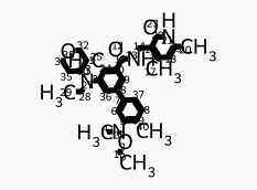 CCON(C)c1cc(-c2cc(C(=O)NCc3c(C)cc(C)[nH]c3=O)c(C)c(N(CC)C3CCOCC3)c2)ccc1C